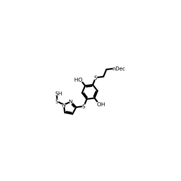 CCCCCCCCCCCCSc1cc(O)c(Sc2ccn(SS)n2)cc1O